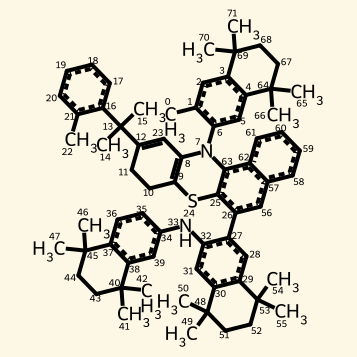 Cc1cc2c(cc1N1C3=C(CCC(C(C)(C)c4ccccc4C)=C3)Sc3c(-c4cc5c(cc4Nc4ccc6c(c4)C(C)(C)CCC6(C)C)C(C)(C)CCC5(C)C)cc4ccccc4c31)C(C)(C)CCC2(C)C